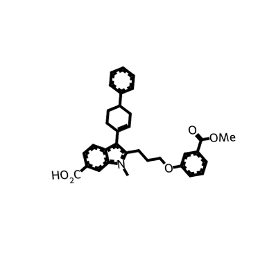 COC(=O)c1cccc(OCCCc2c(C3=CCC(c4ccccc4)CC3)c3ccc(C(=O)O)cc3n2C)c1